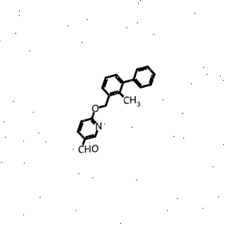 Cc1c(COc2ccc(C=O)cn2)cccc1-c1ccccc1